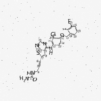 NC(=O)NCC#Cc1cc2c(Nc3ccc(OCc4cccc(F)c4)c(Cl)c3)ncnc2s1